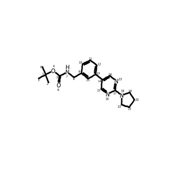 CC(C)(C)OC(=O)NCc1cccc(-c2cnc(N3CCCC3)nc2)c1